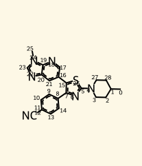 CC1CCN(c2nc(-c3ccc(C#N)cc3)c(-c3cnc4c(c3)ncn4C)s2)CC1